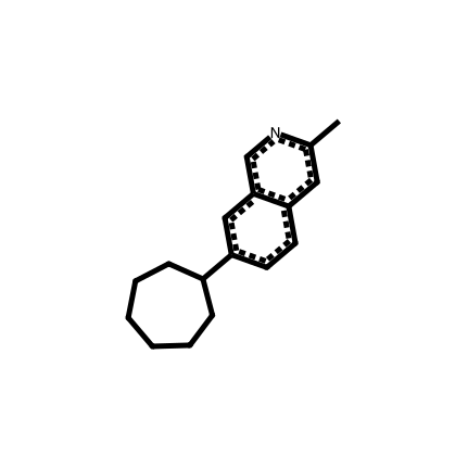 Cc1cc2ccc(C3CCCCCC3)cc2cn1